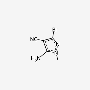 Cn1nc(Br)c(C#N)c1N